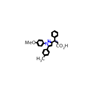 COc1ccc(-n2nc(/C(=C\C(=O)O)c3ccccc3)cc2-c2ccc(C)cc2)cc1